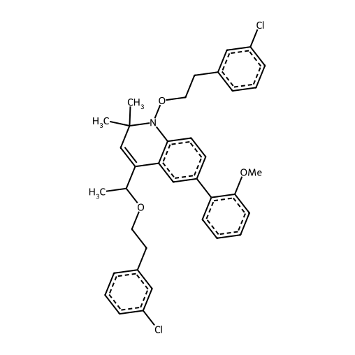 COc1ccccc1-c1ccc2c(c1)C(C(C)OCCc1cccc(Cl)c1)=CC(C)(C)N2OCCc1cccc(Cl)c1